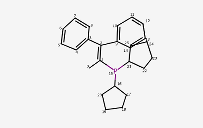 CC(=C(c1ccccc1)c1ccccc1)P(C1CCCC1)C1CCCC1